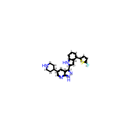 Fc1ccc(-c2cccc3[nH]c(-c4n[nH]c5ncc(C6CCNCC6)cc45)cc23)s1